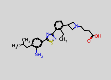 CCc1c(-c2nsc(-c3ccc(CC(C)C)c(N)c3)n2)cccc1C1CN(CCCC(=O)O)C1